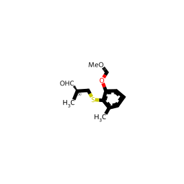 COCOc1cccc(C)c1SC[C@@H](C)C=O